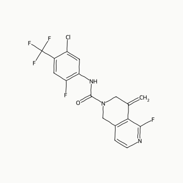 C=C1CN(C(=O)Nc2cc(Cl)c(C(F)(F)F)cc2F)Cc2ccnc(F)c21